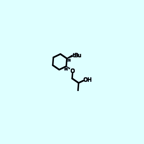 CC(O)CO[C@@H]1CCCC[C@H]1C(C)(C)C